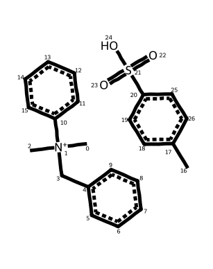 C[N+](C)(Cc1ccccc1)c1ccccc1.Cc1ccc(S(=O)(=O)O)cc1